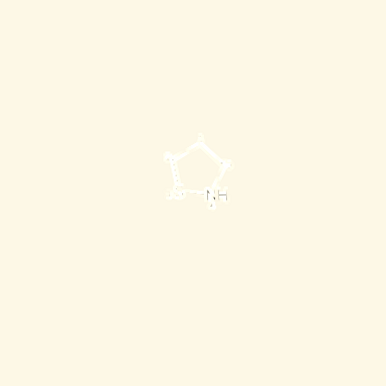 [C]1CCSN1